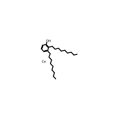 CCCCCCCCCc1cccc(O)c1CCCCCCCCC.[Ce]